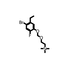 CCc1cc(OCOCC[Si](C)(C)C)c(F)cc1Br